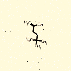 C=C(O)CCC(C)(C)C